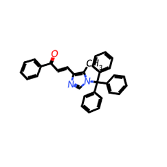 Cc1c(C=CC(=O)c2ccccc2)ncn1C(c1ccccc1)(c1ccccc1)c1ccccc1